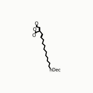 CCCCCCCCCCCCCCCCCCCCC=CC1=CC(=O)OC1=O